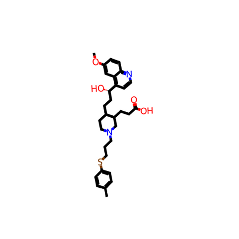 COc1ccc2nccc([C@@H](O)CCC3CCN(CCCSc4ccc(C)cc4)CC3CCC(=O)O)c2c1